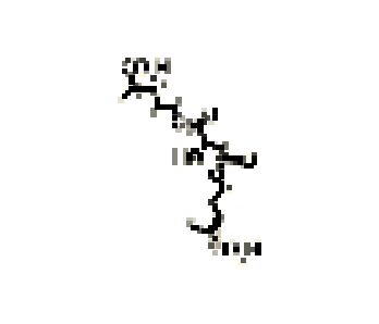 CC(=CCCOC(=O)CC(O)C(=O)OCCC=C(C)C(=O)O)C(=O)O